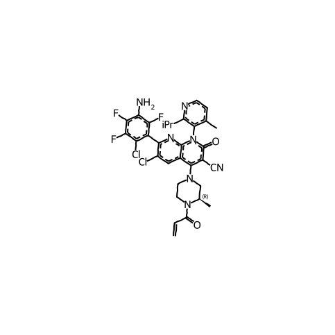 C=CC(=O)N1CCN(c2c(C#N)c(=O)n(-c3c(C)ccnc3C(C)C)c3nc(-c4c(F)c(N)c(F)c(F)c4Cl)c(Cl)cc23)C[C@H]1C